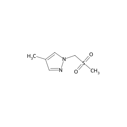 Cc1cnn(CS(C)(=O)=O)c1